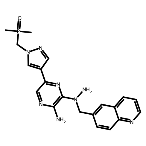 CP(C)(=O)Cn1cc(-c2cnc(N)c(N(N)Cc3ccc4ncccc4c3)n2)cn1